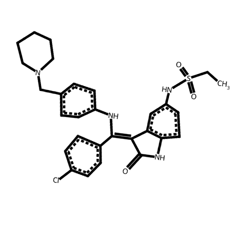 CCS(=O)(=O)Nc1ccc2c(c1)C(=C(Nc1ccc(CN3CCCCC3)cc1)c1ccc(Cl)cc1)C(=O)N2